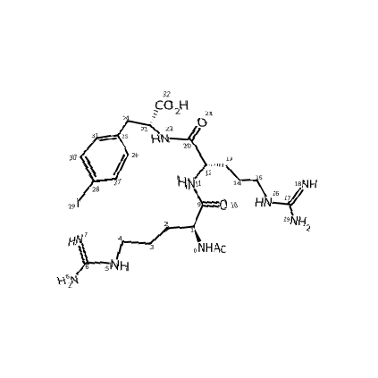 CC(=O)N[C@@H](CCCNC(=N)N)C(=O)N[C@@H](CCCNC(=N)N)C(=O)N[C@H](Cc1ccc(I)cc1)C(=O)O